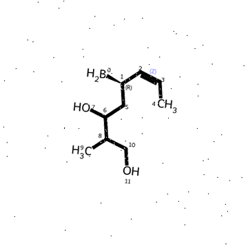 B[C@@H](/C=C\C)CC(O)C(C)CO